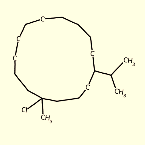 CC(C)C1CCCCCCCCCCC(C)(Cl)CCC1